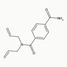 C=CCN(CC=C)C(=O)c1ccc(C(N)=O)cc1